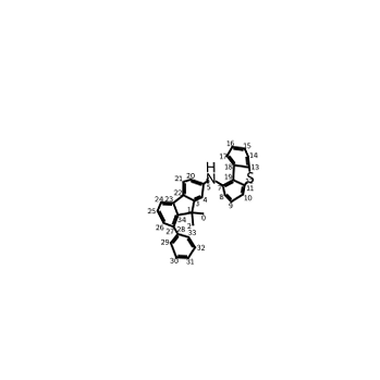 CC1(C)c2cc(Nc3cccc4sc5ccccc5c34)ccc2-c2cccc(-c3ccccc3)c21